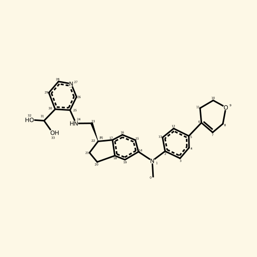 CN(c1ccc(C2=CCOCC2)cc1)c1ccc2c(c1)CC[C@H]2CNc1cnccc1C(O)O